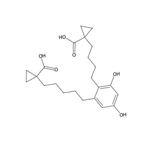 O=C(O)C1(CCCCCc2cc(O)cc(O)c2CCCCC2(C(=O)O)CC2)CC1